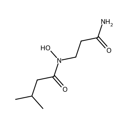 CC(C)CC(=O)N(O)CCC(N)=O